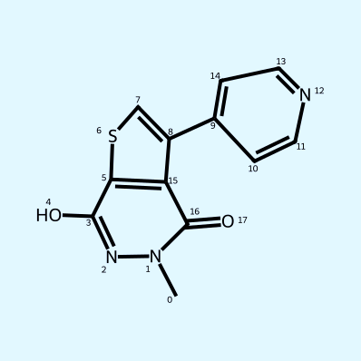 Cn1nc(O)c2scc(-c3ccncc3)c2c1=O